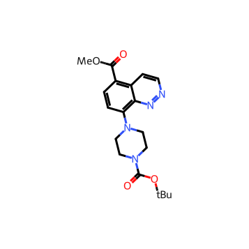 COC(=O)c1ccc(N2CCN(C(=O)OC(C)(C)C)CC2)c2nnccc12